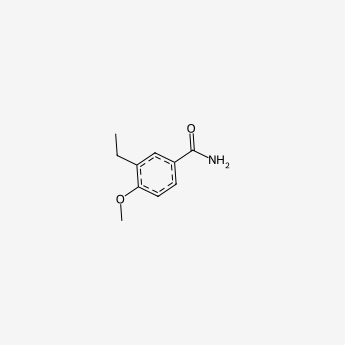 CCc1cc(C(N)=O)ccc1OC